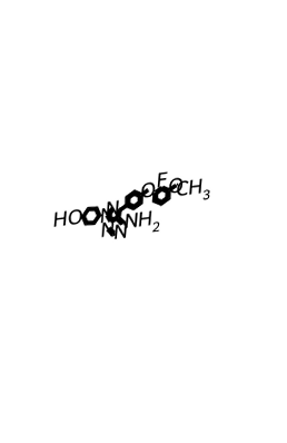 COc1cccc(Oc2ccc(-c3nn([C@H]4CC[C@@H](O)CC4)c4ncnc(N)c34)cc2)c1F